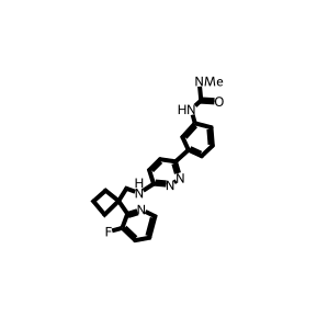 CNC(=O)Nc1cccc(-c2ccc(NCC3(c4ncccc4F)CCC3)nn2)c1